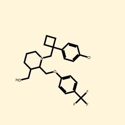 OCC1CCCN(CC2(c3ccc(Cl)cc3)CCC2)C1COc1ccc(C(F)(F)F)cc1